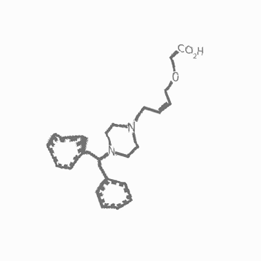 O=C(O)COC/C=C\CN1CCN(C(c2ccccc2)c2ccccc2)CC1